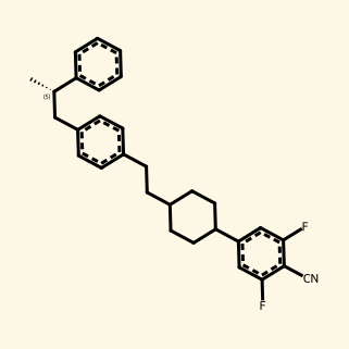 C[C@@H](Cc1ccc(CCC2CCC(c3cc(F)c(C#N)c(F)c3)CC2)cc1)c1ccccc1